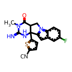 [C-]#[N+]c1ccc(C23NC(=N)N(C)C(=O)C2Cn2c3cc3cc(F)ccc32)s1